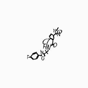 Cc1nc(-c2ccc(Cl)c(C(=O)NCC(C)(C)c3coc(-c4ccc(F)cc4)n3)c2)no1